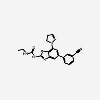 CCNC(=O)Nc1nc2cc(-c3cccc(C#N)c3)cc(N3CCC=N3)c2[nH]1